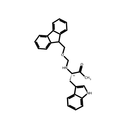 CC(=O)[C@H](Cc1c[nH]c2ccccc12)NCOCC1c2ccccc2-c2ccccc21